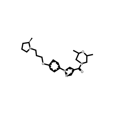 CC1CN(C(=O)c2cnn(-c3ccc(OCCCN4CCC[C@H]4C)cc3)c2)CC(C)O1